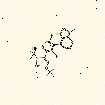 Cc1c[nH]c2c(-c3c(F)cc4c(c3F)C(=NOC(C)(C)C)C(O)C(C)(C)N4)cccc12